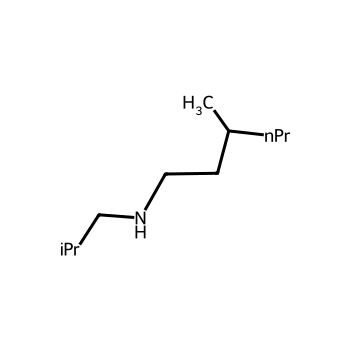 CCCC(C)CCNCC(C)C